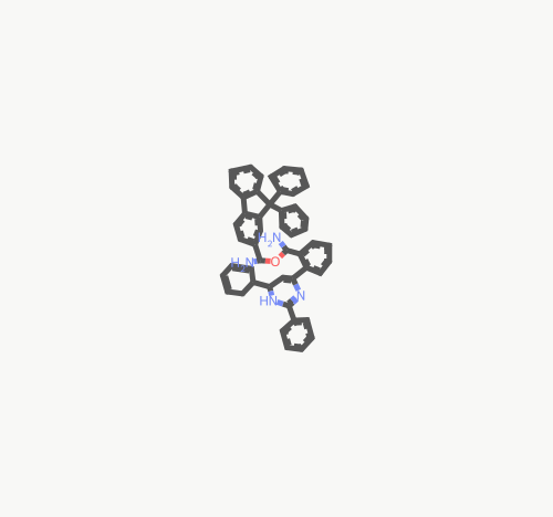 NC(OC(N)c1ccccc1C1=CC(C2C=CC=CC2)NC(c2ccccc2)=N1)c1ccc2c(c1)C(c1ccccc1)(c1ccccc1)c1ccccc1-2